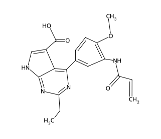 C=CC(=O)Nc1cc(-c2nc(CC)nc3[nH]cc(C(=O)O)c23)ccc1OC